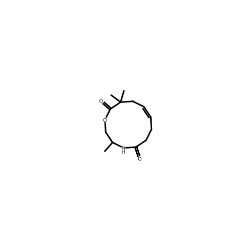 CC1COC(=O)C(C)(C)CC=CCCC(=O)N1